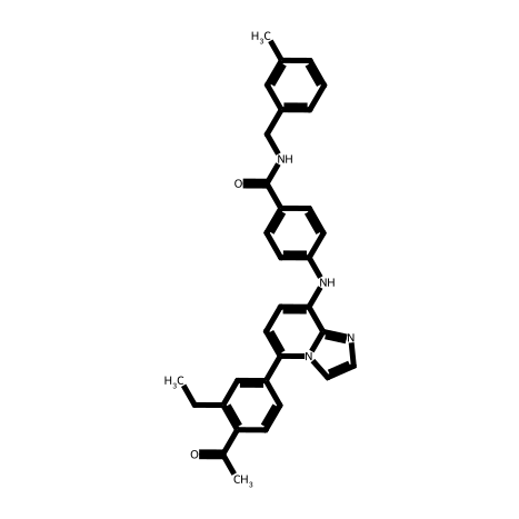 CCc1cc(-c2ccc(Nc3ccc(C(=O)NCc4cccc(C)c4)cc3)c3nccn23)ccc1C(C)=O